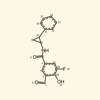 O=Cc1cc(C(=O)NC2CC2c2ccccc2)cc(F)c1O